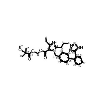 CCCc1nc(CC)c(C(=O)OCOC(=O)C(C)(C)OC)n1Cc1ccc(-c2ccccc2-c2nnn[nH]2)cc1